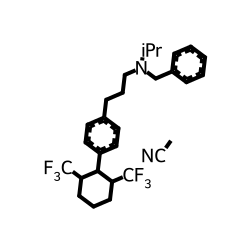 CC#N.CC(C)N(CCCc1ccc(C2C(C(F)(F)F)CCCC2C(F)(F)F)cc1)Cc1ccccc1